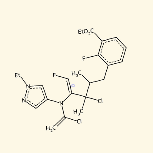 C=C(Cl)N(/C(=C\F)C(C)(Cl)C(C)Cc1cccc(C(=O)OCC)c1F)c1cnn(CC)c1